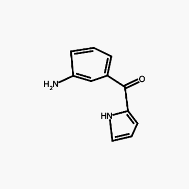 Nc1cccc(C(=O)c2ccc[nH]2)c1